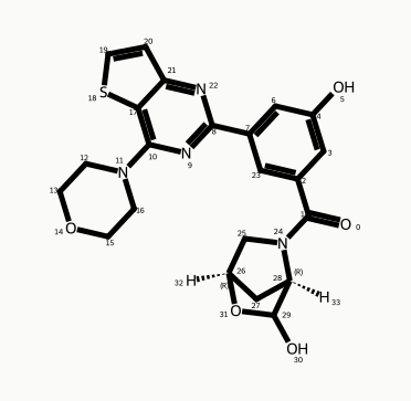 O=C(c1cc(O)cc(-c2nc(N3CCOCC3)c3sccc3n2)c1)N1C[C@H]2C[C@@H]1C(O)O2